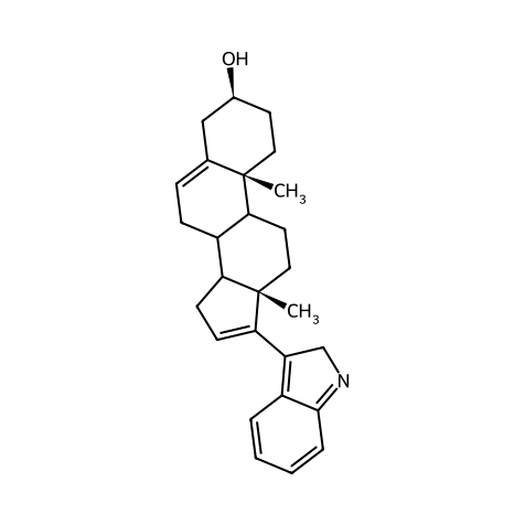 C[C@]12CC[C@H](O)CC1=CCC1C2CC[C@]2(C)C(C3=c4ccccc4=NC3)=CCC12